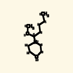 CCCCC(OC)N1CCOCC1